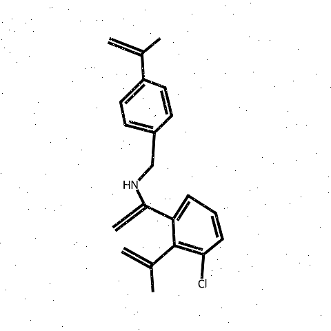 C=C(C)c1ccc(CNC(=C)c2cccc(Cl)c2C(=C)C)cc1